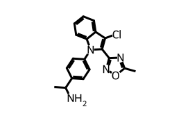 Cc1nc(-c2c(Cl)c3ccccc3n2-c2ccc(C(C)N)cc2)no1